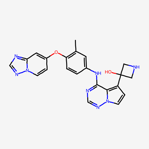 Cc1cc(Nc2ncnn3ccc(C4(O)CNC4)c23)ccc1Oc1ccn2ncnc2c1